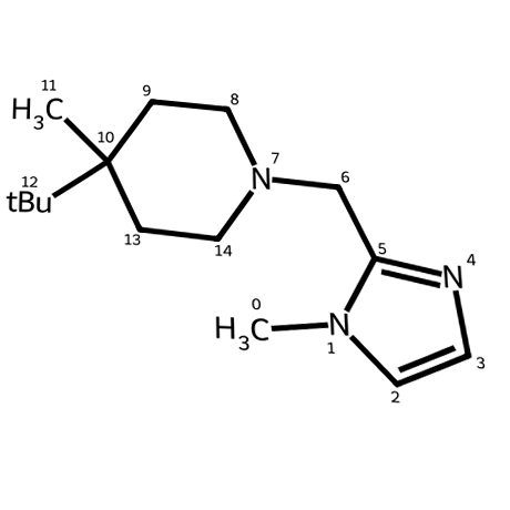 Cn1ccnc1CN1CCC(C)(C(C)(C)C)CC1